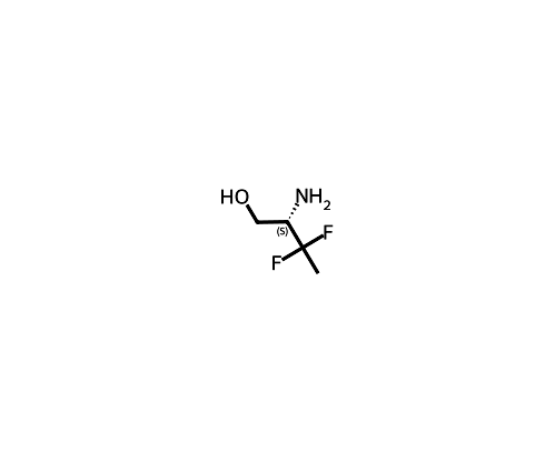 CC(F)(F)[C@@H](N)CO